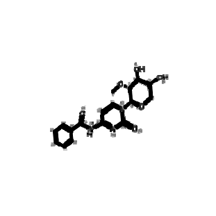 CO[C@@H]1[C@@H](O)[C@@H](O)CO[C@H]1n1ccc(NC(=O)c2ccccc2)nc1=O